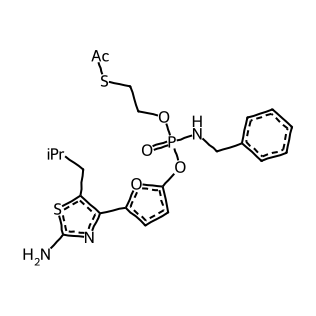 CC(=O)SCCOP(=O)(NCc1ccccc1)Oc1ccc(-c2nc(N)sc2CC(C)C)o1